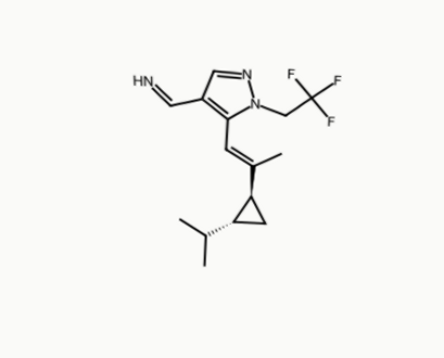 C/C(=C\c1c(C=N)cnn1CC(F)(F)F)[C@H]1C[C@@H]1C(C)C